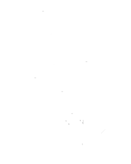 c1ccc(-c2c3ccc(-c4ccc5c(c4)nc(-c4ccccc4)n5-c4ccccc4)cc3c(-c3ccccc3)c3ccc(-c4ccc5ccccc5c4)cc23)cc1